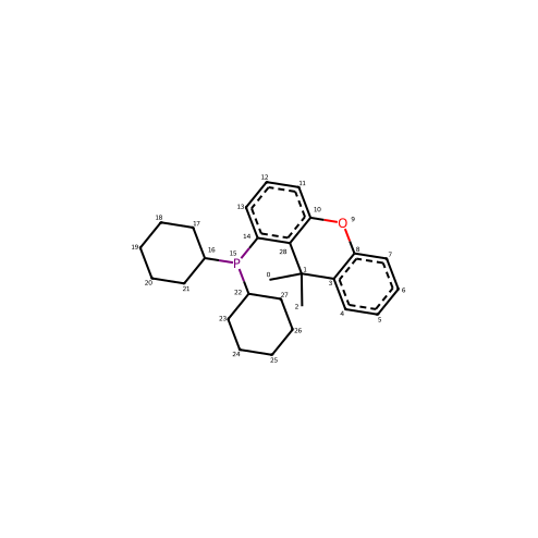 CC1(C)c2ccccc2Oc2cccc(P(C3CCCCC3)C3CCCCC3)c21